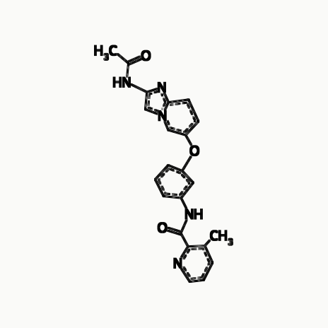 CC(=O)Nc1cn2cc(Oc3cccc(NC(=O)c4ncccc4C)c3)ccc2n1